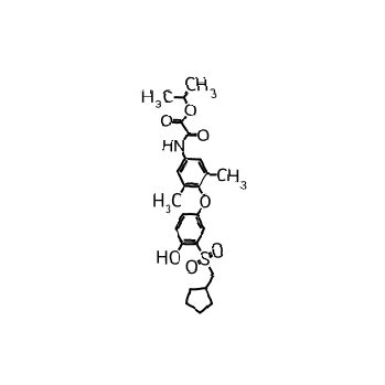 Cc1cc(NC(=O)C(=O)OC(C)C)cc(C)c1Oc1ccc(O)c(S(=O)(=O)CC2CCCC2)c1